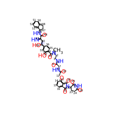 CN(CCNC(=O)CNC(=O)COc1cccc2c1C(=O)N(C1CCC(=O)NC1=O)C2=O)C(=O)c1ccc(/C(O)=C/C(=N)C(=O)NC2CCc3ccccc32)cc1O